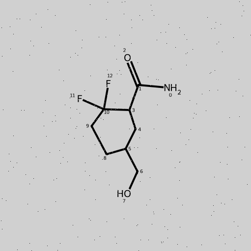 NC(=O)C1CC([CH]O)CCC1(F)F